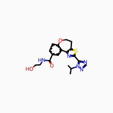 CC(C)n1ncnc1-c1nc2c(s1)CCOc1ccc(C(=O)NCCO)cc1-2